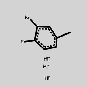 Cc1ccc(F)c(Br)c1.F.F.F